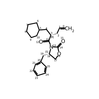 C=CC[C@@H](CC1CCCCC1)C(=O)N1C(=O)OC[C@@H]1Cc1ccccc1